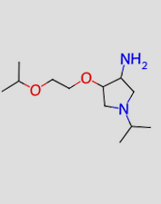 CC(C)OCCOC1CN(C(C)C)CC1N